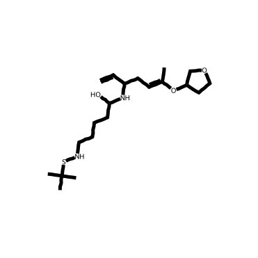 C=CC(C/C=C(\C)OC1CCOC1)NC(O)CCCCNSC(C)(C)C